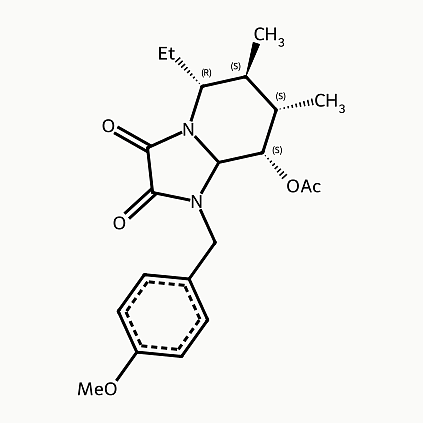 CC[C@@H]1[C@@H](C)[C@H](C)[C@H](OC(C)=O)C2N(Cc3ccc(OC)cc3)C(=O)C(=O)N21